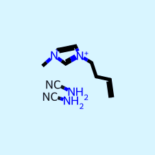 C=CCC[n+]1ccn(C)c1.N#CN.N#CN